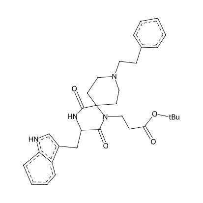 CC(C)(C)OC(=O)CCN1C(=O)C(Cc2c[nH]c3ccccc23)NC(=O)C12CCN(CCc1ccccc1)CC2